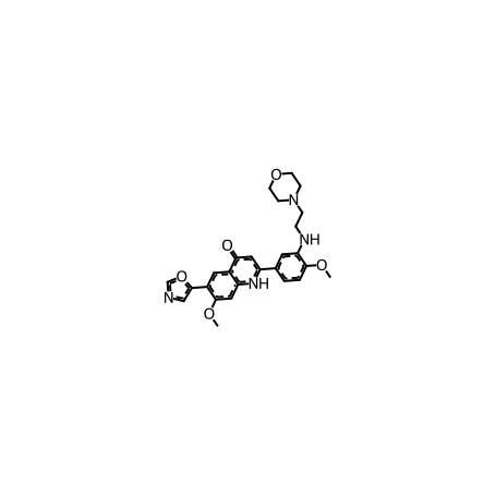 COc1ccc(-c2cc(=O)c3cc(-c4cnco4)c(OC)cc3[nH]2)cc1NCCN1CCOCC1